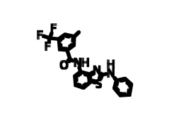 Cc1cc(C(=O)Nc2cccc3sc(Nc4ccccc4)nc23)cc(C(F)(F)F)c1